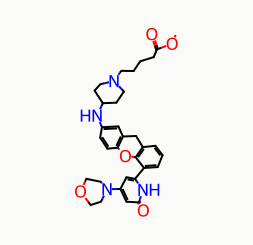 COC(=O)CCCCN1CCC(Nc2ccc3c(c2)Cc2cccc(-c4cc(N5CCOCC5)cc(=O)[nH]4)c2O3)CC1